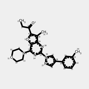 CCC(=O)c1oc2c(N3CCOCC3)nc(-n3cc(-c4cccc(C)c4)cn3)nc2c1C